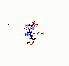 COC(=O)[C@H](CN)NC(=O)C(C)(C)NC(=O)[C@@H](SC(C)=O)C(C)C.Cl